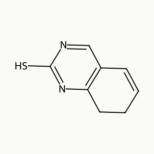 Sc1ncc2c(n1)CCC=C2